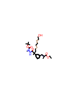 CCOC(=O)/C(C)=C/c1cccc(C(C)(CCSCCSCCO)C(=O)NN(C)C(=O)OC(C)(C)C)c1